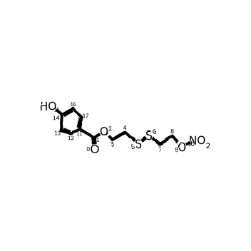 O=C(OCCSSCCO[N+](=O)[O-])c1ccc(O)cc1